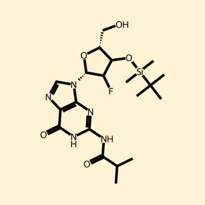 CC(C)C(=O)Nc1nc2c(ncn2[C@@H]2O[C@H](CO)C(O[Si](C)(C)C(C)(C)C)C2F)c(=O)[nH]1